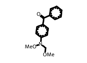 COCN(OC)c1ccc(C(=O)c2ccccc2)cc1